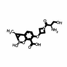 C[C@@H]1C2B(O)Oc3c(ccc(OC4CN(C(=O)[C@H](N)CO)C4)c3C(=O)O)C21